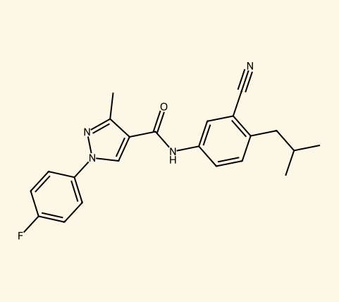 Cc1nn(-c2ccc(F)cc2)cc1C(=O)Nc1ccc(CC(C)C)c(C#N)c1